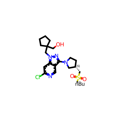 CCCCS(=O)(=O)C[C@H]1CCN(c2nn(CC3(CO)CCCC3)c3cc(Cl)ncc23)C1